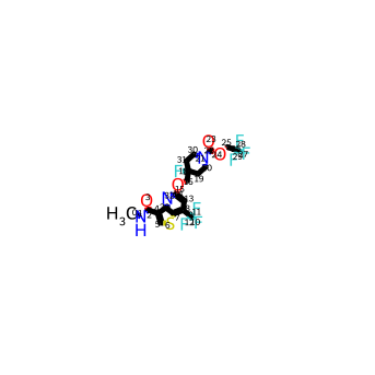 CNC(=O)c1csc2c(C(F)(F)F)cc(OCC3(F)CCN(C(=O)OCC(F)(F)F)CC3)nc12